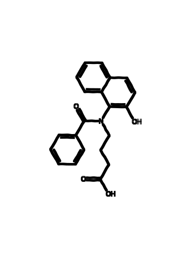 O=C(O)CCCN(C(=O)c1ccccc1)c1c(O)ccc2ccccc12